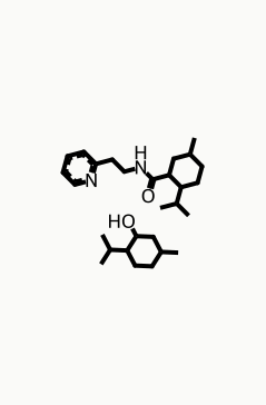 CC1CCC(C(C)C)C(C(=O)NCCc2ccccn2)C1.CC1CCC(C(C)C)C(O)C1